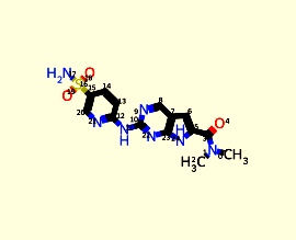 CN(C)C(=O)c1cc2cnc(Nc3ccc(S(N)(=O)=O)cn3)nc2[nH]1